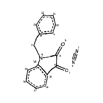 N#N.O=C1C(=O)N(Cc2ccccc2)c2ccccc21